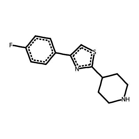 Fc1ccc(-c2csc(C3CCNCC3)n2)cc1